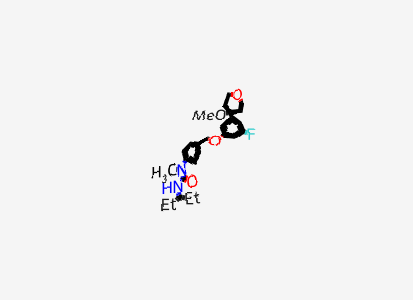 CCC(CC)NC(=O)N(C)c1ccc(COc2cc(F)cc(C3(OC)CCOCC3)c2)cc1